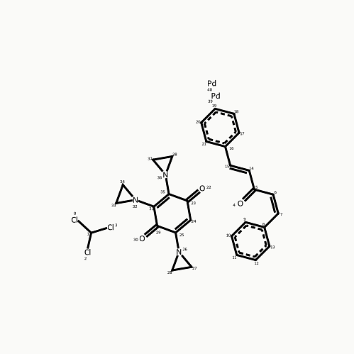 ClC(Cl)Cl.O=C(/C=C\c1ccccc1)/C=C/c1ccccc1.O=C1C=C(N2CC2)C(=O)C(N2CC2)=C1N1CC1.[Pd].[Pd]